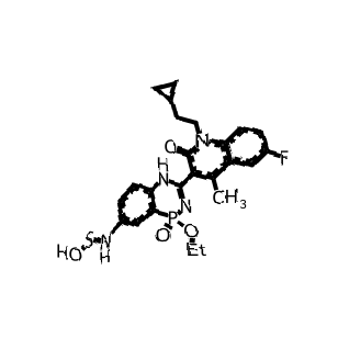 CCOP1(=O)N=C(c2c(C)c3cc(F)ccc3n(CCC3CC3)c2=O)Nc2ccc(NSO)cc21